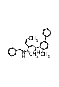 C=C(NCc1ccccc1)C(/C=C\C)=C\C(C)c1cc(-c2ccccc2)ccc1C